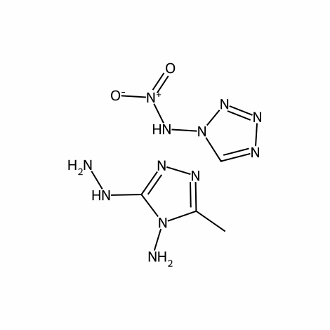 Cc1nnc(NN)n1N.O=[N+]([O-])Nn1cnnn1